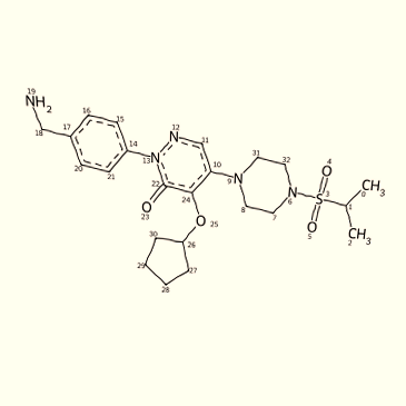 CC(C)S(=O)(=O)N1CCN(c2cnn(-c3ccc(CN)cc3)c(=O)c2OC2CCCC2)CC1